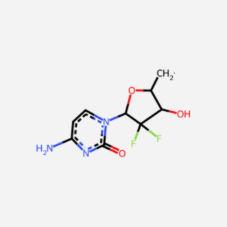 [CH2]C1OC(n2ccc(N)nc2=O)C(F)(F)C1O